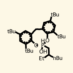 CCCCC(CC)C[PH]1(O)Oc2c(cc(C(C)(C)C)cc2C(C)(C)C)Cc2cc(C(C)(C)C)cc(C(C)(C)C)c2O1